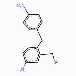 CC(C)Cc1cc(N)ccc1Cc1ccc(N)cc1